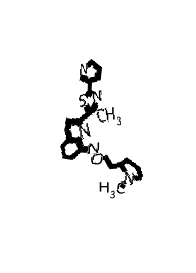 Cc1nc(-c2cccnc2)sc1-c1ccc2c(n1)/C(=N/OCCC1CCCN1C)CCC2